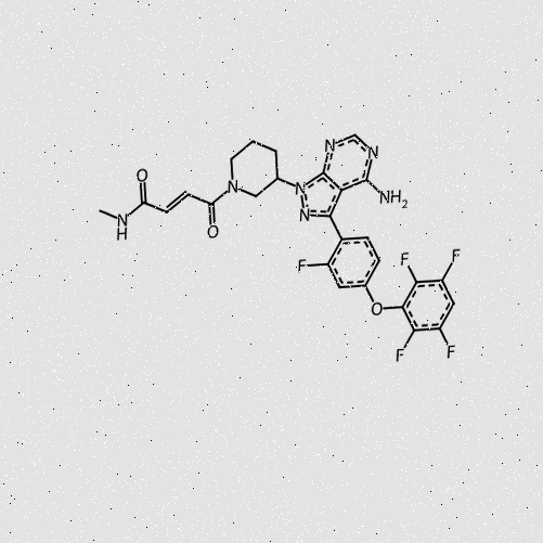 CNC(=O)C=CC(=O)N1CCCC(n2nc(-c3ccc(Oc4c(F)c(F)cc(F)c4F)cc3F)c3c(N)ncnc32)C1